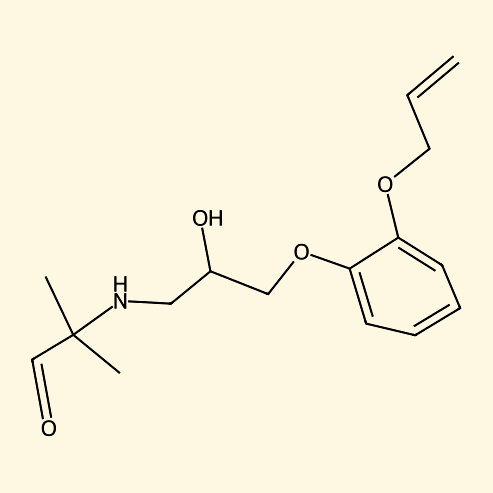 C=CCOc1ccccc1OCC(O)CNC(C)(C)C=O